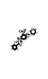 O=C(NS(=O)(=O)c1ccc(NC[C@H]2CCCOC2)c([N+](=O)[O-])c1)c1ccccc1